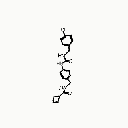 O=C(NCc1ccc(Cl)cc1)Nc1ccc(CNC(=O)C2CCC2)cc1